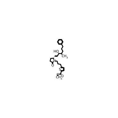 COC(=O)c1ccc(CCCN2C(=O)CC[C@@H]2C=C[C@H](O)C(C)CCCc2ccccc2)s1